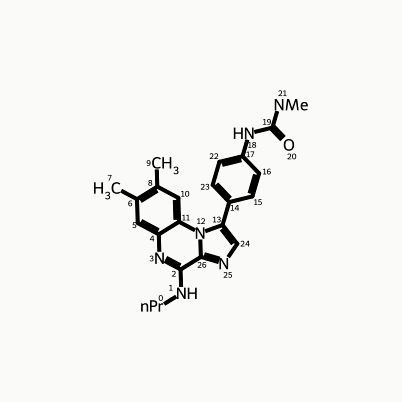 CCCNc1nc2cc(C)c(C)cc2n2c(-c3ccc(NC(=O)NC)cc3)cnc12